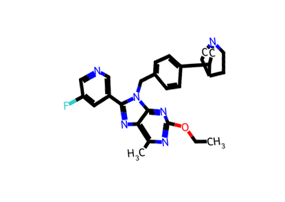 CCOc1nc(C)c2nc(-c3cncc(F)c3)n(Cc3ccc(C4CN5CCC4CC5)cc3)c2n1